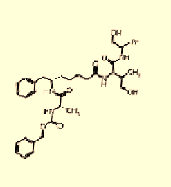 CC(C)C(CO)NC(=O)C(NC(=O)CCCC[C@@H](Cc1ccccc1)NC(=O)[C@H](C)NC(=O)OCc1ccccc1)C(C)CO